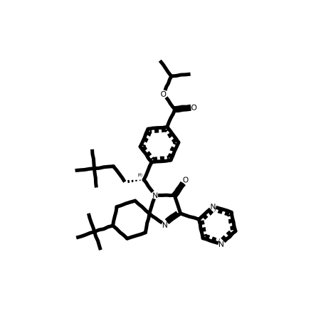 CC(C)OC(=O)c1ccc([C@@H](CCC(C)(C)C)N2C(=O)C(c3cnccn3)=NC23CCC(C(C)(C)C)CC3)cc1